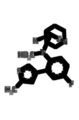 Cc1cc(-c2cc(F)ccc2N(C(=O)O)[C@H]2CN3CCC2CC3)cs1